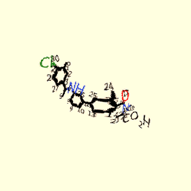 Cc1cc(C(C)Nc2cccc(-c3ccc(C(=O)N(C)C(C)C(=O)O)c(C)c3)c2)ccc1Cl